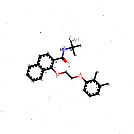 Cc1cccc(OCCOc2c(C(=O)NC(C)(C)C(=O)O)ccc3ccccc23)c1C